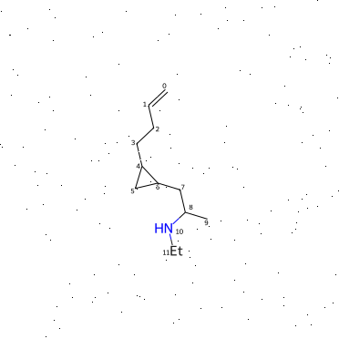 C=CCCC1CC1CC(C)NCC